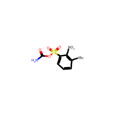 CC(C)(C)c1cccc(S(=O)(=O)OC(N)=O)c1[N+](=O)[O-]